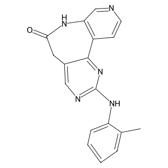 Cc1ccccc1Nc1ncc2c(n1)-c1ccncc1NC(=O)C2